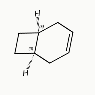 C1=CC[C@H]2CC[C@H]2C1